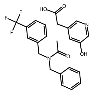 CC(=O)N(Cc1ccccc1)Cc1cccc(C(F)(F)F)c1.O=C(O)Cc1cncc(O)c1